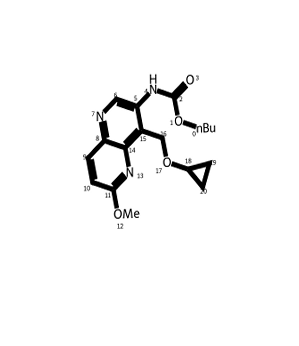 CCCCOC(=O)Nc1cnc2ccc(OC)nc2c1COC1CC1